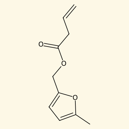 C=CCC(=O)OCc1ccc(C)o1